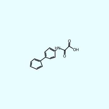 O=C(O)C(=O)Nc1ccc(-c2ccccc2)cc1